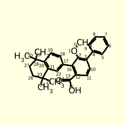 COc1c(-c2ccccc2)ccc(C(=O)O)c1-c1ccc2c(c1)C(C)(C)CCC2(C)C